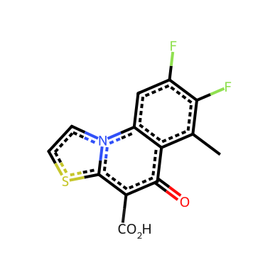 Cc1c(F)c(F)cc2c1c(=O)c(C(=O)O)c1sccn12